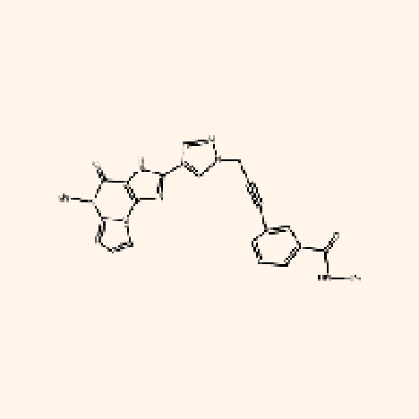 CCCn1c(=O)c2[nH]c(-c3cnn(CC#Cc4cccc(C(=O)NC(C)C)c4)c3)nc2n2ccnc12